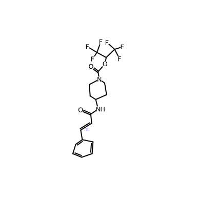 O=C(/C=C/c1ccccc1)NC1CCN(C(=O)OC(C(F)(F)F)C(F)(F)F)CC1